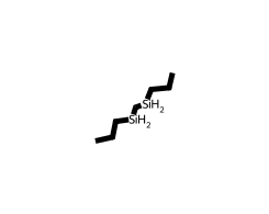 CCC[SiH2]C[SiH2]CCC